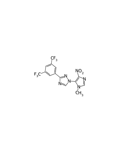 Cn1cnc([N+](=O)[O-])c1-n1cnc(-c2cc(C(F)(F)F)cc(C(F)(F)F)c2)n1